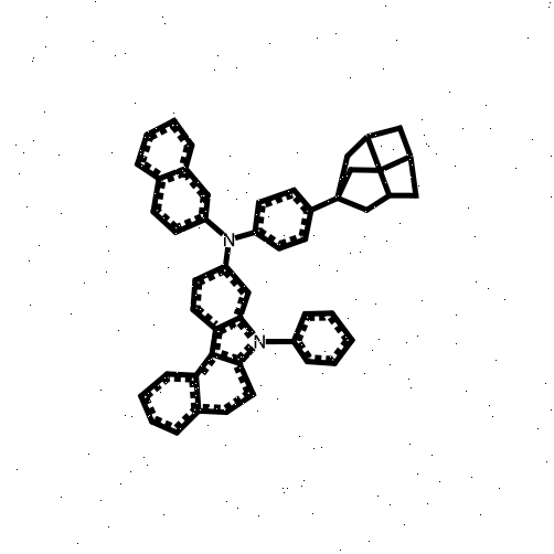 c1ccc(-n2c3cc(N(c4ccc(C56CC7CC8CC(C5)C87C6)cc4)c4ccc5ccccc5c4)ccc3c3c4ccccc4ccc32)cc1